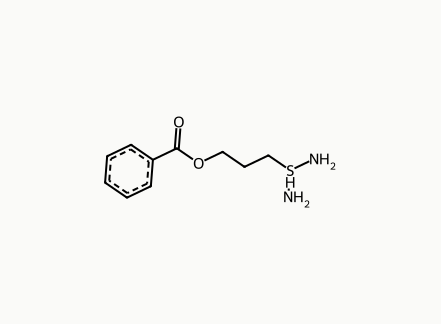 N[SH](N)CCCOC(=O)c1ccccc1